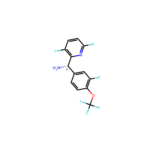 N[C@@H](c1ccc(OC(F)(F)F)c(F)c1)c1nc(F)ccc1F